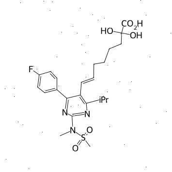 CC(C)c1nc(N(C)S(C)(=O)=O)nc(-c2ccc(F)cc2)c1/C=C/CCCCC(O)(O)C(=O)O